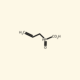 C=CC[PH](=O)C(=O)O